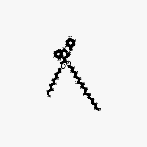 CCCCCCCCCCCCCCCCCCOC(CCN(Cc1ccccc1)Cc1ccccc1)COCCCCCCCCCC